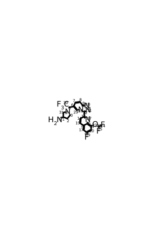 NC1CCN([C@H](c2ccc3nnc(-c4ccc5cc(F)cc(OC(F)F)c5n4)n3c2)C(F)(F)F)C1